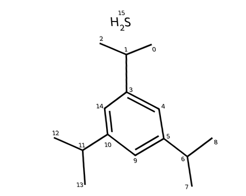 CC(C)c1cc(C(C)C)cc(C(C)C)c1.S